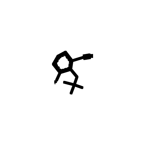 CC(C)(C)Cc1c(F)cccc1C#N